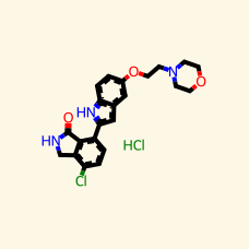 Cl.O=C1NCc2c(Cl)ccc(-c3cc4cc(OCCN5CCOCC5)ccc4[nH]3)c21